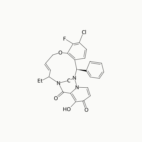 CCC1/C=C/COc2c(ccc(Cl)c2F)[C@@H](c2ccccc2)N2CN1C(=O)c1c(O)c(=O)ccn12